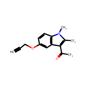 C#CCOc1ccc2c(c1)c(C(=O)C(F)(F)F)c(C(F)(F)F)n2C